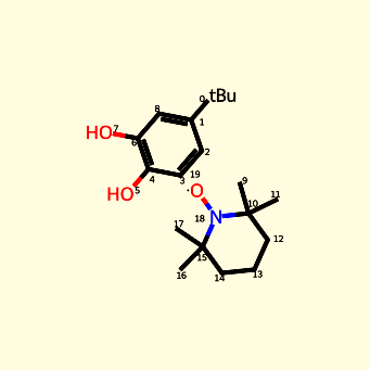 CC(C)(C)c1ccc(O)c(O)c1.CC1(C)CCCC(C)(C)N1[O]